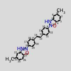 Cc1ccc2c(c1)NN(c1ccc(C=Cc3ccc(N4Nc5cc(C)ccc5O4)cc3)cc1)O2